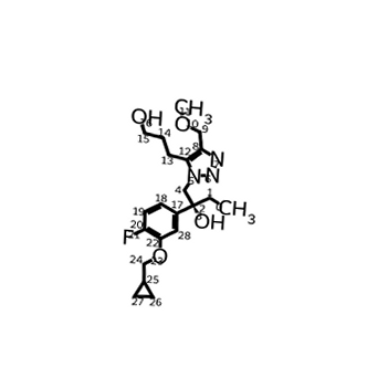 CC[C@@](O)(Cn1nnc(COC)c1CCCO)c1ccc(F)c(OCC2CC2)c1